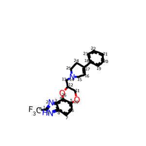 FC(F)(F)c1nc2c3c(ccc2[nH]1)OCC(CN1CC=C(c2ccccc2)CC1)O3